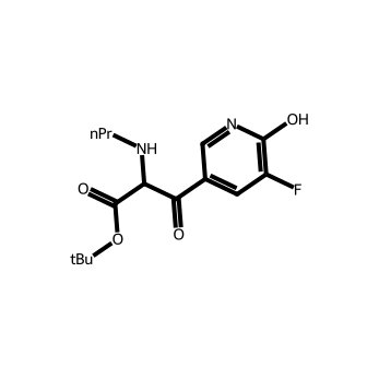 CCCNC(C(=O)OC(C)(C)C)C(=O)c1cnc(O)c(F)c1